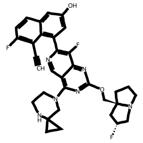 C#Cc1c(F)ccc2cc(O)cc(-c3ncc4c(N5CCNC6(CC6)C5)nc(OC[C@@]56CCCN5C[C@H](F)C6)nc4c3F)c12